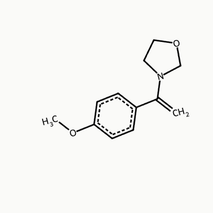 C=C(c1ccc(OC)cc1)N1CCOC1